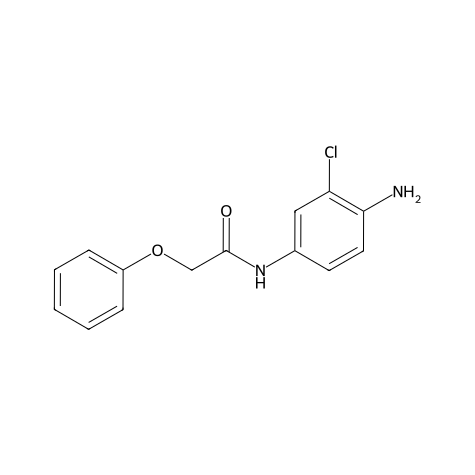 Nc1ccc(NC(=O)COc2ccccc2)cc1Cl